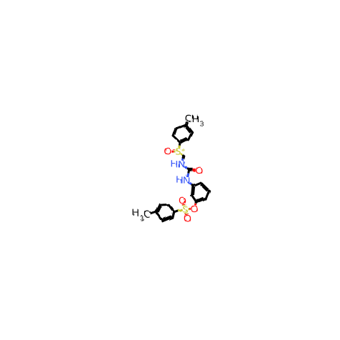 CC1=CCC(S(=O)(=O)Oc2cccc(NC(=O)NC[S+]([O-])C3=CC=C(C)CC3)c2)C=C1